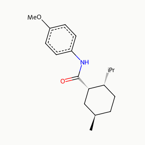 COc1ccc(NC(=O)[C@H]2C[C@H](C)CC[C@H]2C(C)C)cc1